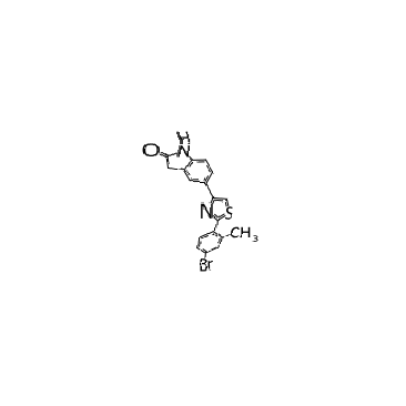 Cc1cc(Br)ccc1-c1nc(-c2ccc3c(c2)CC(=O)N3)cs1